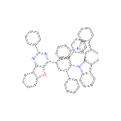 c1ccc(-c2nc(-c3cc(-c4ccccc4)c(-n4c5ccccc5c5ccc6c7ccccc7n(-c7ccccc7)c6c54)c(-c4ccccc4)c3)c3oc4ccccc4c3n2)cc1